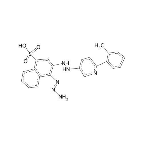 Cc1ccccc1-c1ccc(NNc2cc(S(=O)(=O)O)c3ccccc3c2N=NN)cn1